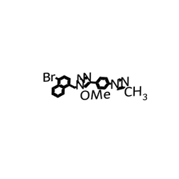 COc1cc(-c2cn(Cc3ccc(Br)c4ccccc34)nn2)ccc1-n1cnc(C)c1